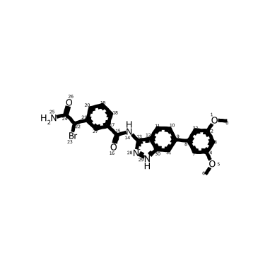 COc1cc(OC)cc(-c2ccc3c(NC(=O)c4cccc(C(Br)C(N)=O)c4)n[nH]c3c2)c1